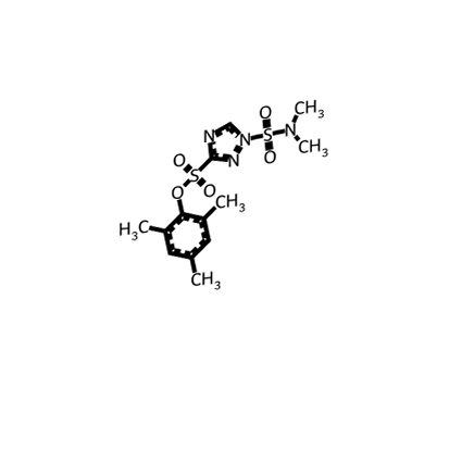 Cc1cc(C)c(OS(=O)(=O)c2ncn(S(=O)(=O)N(C)C)n2)c(C)c1